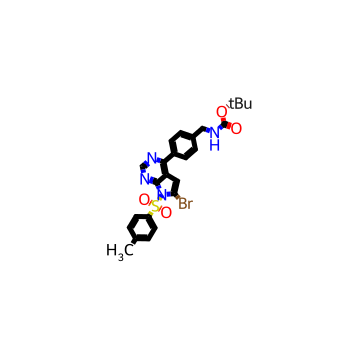 Cc1ccc(S(=O)(=O)n2c(Br)cc3c(-c4ccc(CNC(=O)OC(C)(C)C)cc4)ncnc32)cc1